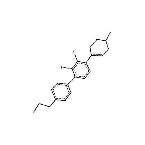 CCCc1ccc(-c2ccc(C3=CCC(C)CC3)c(F)c2F)cc1